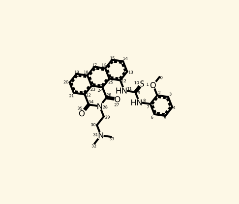 COc1ccccc1NC(=S)Nc1cccc2cc3cccc4c3c(c12)C(=O)N(CCN(C)C)C4=O